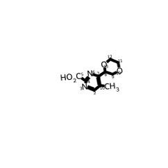 Cc1cnc(C(=O)O)nc1C1COCCO1